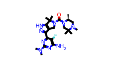 C[C@H]1CN(C)C(C)(C)CN1C(=O)N1Cc2c(-c3nc(N(C)C)nc(N)c3F)n[nH]c2C1(C)C